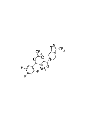 N[C@@H](CC(=O)N1CCn2c(nnc2C(F)(F)F)C1)C(OC(=O)C(F)(F)F)c1cc(F)c(F)cc1F